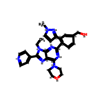 CCn1c(-c2ccncc2)nc2c(N3CCOCC3)nc(-c3ccc(CO)cc3-c3ccn(C)n3)nc21